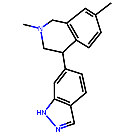 Cc1ccc2c(c1)CN(C)CC2c1ccc2cn[nH]c2c1